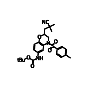 Cc1ccc(S(=O)(=O)N2CC(CC(C)(C)C#N)Oc3ccc(NC(=O)OC(C)(C)C)cc32)cc1